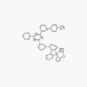 N#Cc1ccc(-c2cccc(-c3nc(-c4ccccc4)nc(-c4cccc(-c5cccc6c5-c5ccccc5[Si]65c6ccccc6Oc6ccccc65)c4)n3)c2)cc1